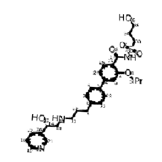 CC(C)Oc1cc(-c2ccc(CCCNC[C@@H](O)c3cccnc3)cc2)ccc1C(=O)NS(=O)(=O)CCCO